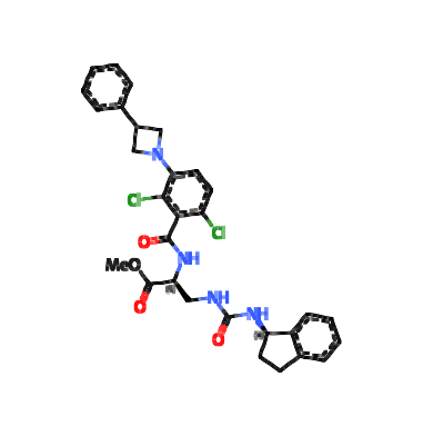 COC(=O)[C@H](CNC(=O)N[C@@H]1CCc2ccccc21)NC(=O)c1c(Cl)ccc(N2CC(c3ccccc3)C2)c1Cl